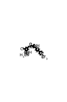 CS(=O)(=O)Nc1cc(Cl)cc(CNC(=O)c2c[nH]c(-c3ccc(C4CCN(CC(F)(F)F)CC4)cn3)c2)c1